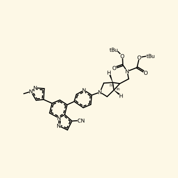 Cn1cc(-c2cc(-c3ccc(N4C[C@@H]5C(CN(C(=O)OC(C)(C)C)C(=O)OC(C)(C)C)[C@@H]5C4)nc3)c3c(C#N)cnn3c2)cn1